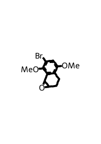 COc1cc(Br)c(OC)c2c1CCC1OC21